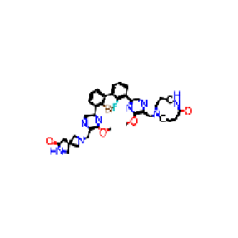 COc1nc(-c2cccc(-c3cccc(-c4cnc(CN5CC6(CNC(=O)C6)C5)c(OC)n4)c3Br)c2F)cnc1CN1CCCNC(=O)CCC1